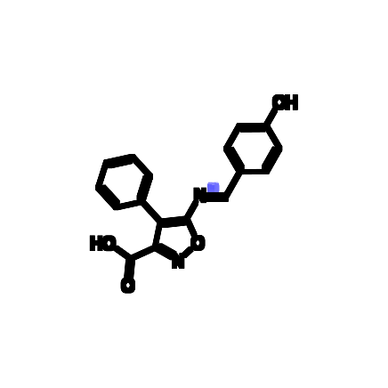 O=C(O)c1noc(/N=C/c2ccc(O)cc2)c1-c1ccccc1